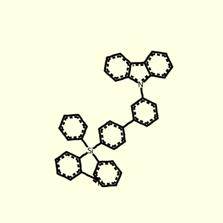 N#Cc1ccccc1[Si](c1ccccc1)(c1ccccc1)c1ccc(-c2cccc(-n3c4ccccc4c4ccccc43)c2)cc1